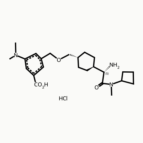 CN(C)c1cc(COC[C@H]2CC[C@H]([C@H](N)C(=O)N(C)C3CCC3)CC2)cc(C(=O)O)c1.Cl